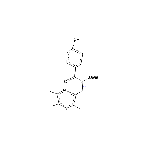 CO/C(=C/c1nc(C)c(C)nc1C)C(=O)c1ccc(O)cc1